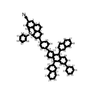 N#Cc1cc2ccc3cc(-c4ccc(-c5ccc6c(-c7ccc8ccccc8c7)c7cc(-c8ccccc8)ccc7c(-c7ccc8ccccc8c7)c6c5)cc4)cc4c3c2c(c1)n4-c1ccccc1